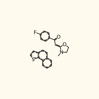 CN1CCOC1=CC(=O)c1ccc(F)cc1.c1ccc2c(c1)ccc1ccsc12